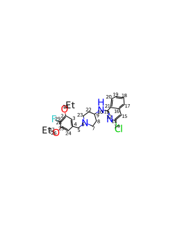 CCOc1cc(CN2CCC(Nc3nc(Cl)cc4ccccc34)CC2)cc(OCC)c1F